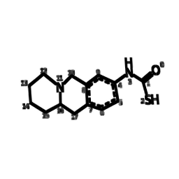 O=C(S)Nc1ccc2c(c1)CN1CCCCC1C2